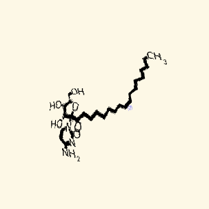 CCCCCCCC/C=C\CCCCCCCC(=O)[C@@]1(n2ccc(N)nc2=O)O[C@H](CO)[C@@H](O)[C@H]1O